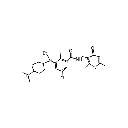 CCN(c1cc(Cl)cc(C(=O)NCc2c(C)[nH]c(C)cc2=O)c1C)C1CCC(N(C)C)CC1